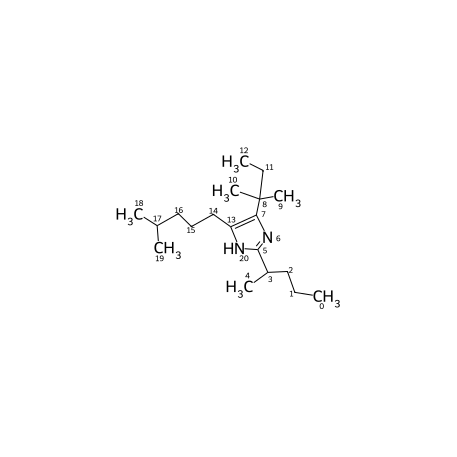 CCCC(C)c1nc(C(C)(C)CC)c(CCCC(C)C)[nH]1